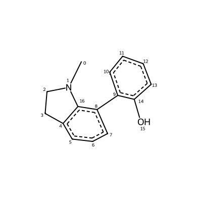 CN1CCc2cccc(-c3[c]cccc3O)c21